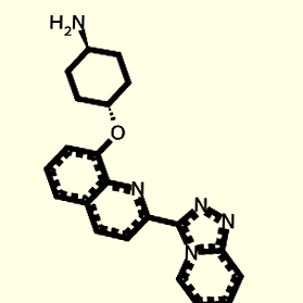 N[C@H]1CC[C@H](Oc2cccc3ccc(-c4nnc5ccccn45)nc23)CC1